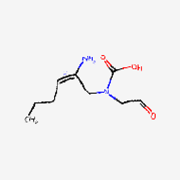 CCC/C=C(/N)CN(CC=O)C(=O)O